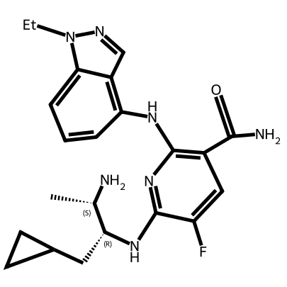 CCn1ncc2c(Nc3nc(N[C@H](CC4CC4)[C@H](C)N)c(F)cc3C(N)=O)cccc21